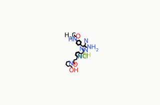 CC(=O)Nc1ccc(-c2nc(C(S)c3cccc(CCC(=O)N4CCCCC4CO)n3)nc(N)c2C#N)cc1.Cl